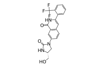 O=C1N[C@@H](CO)CN1c1ccc2cc(-c3ccccc3C(F)(F)F)[nH]c(=O)c2c1